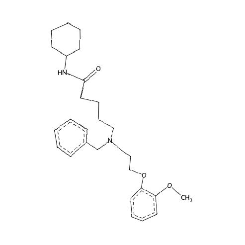 COc1ccccc1OCCN(CCCCC(=O)NC1CCCCC1)Cc1ccccc1